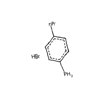 Br.CCCc1ccc(P)cc1